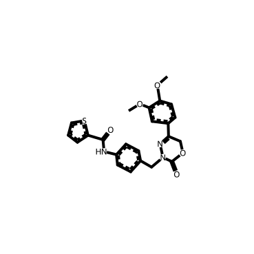 COc1ccc(C2=NN(Cc3ccc(NC(=O)c4cccs4)cc3)C(=O)OC2)cc1OC